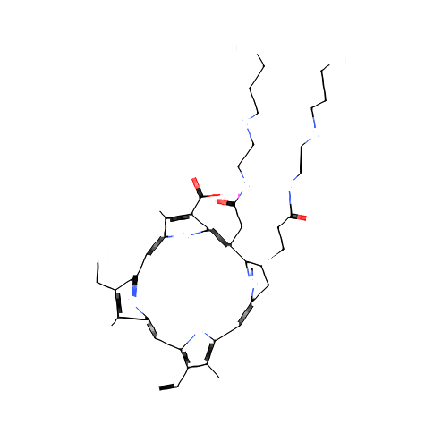 C=Cc1c(C)c2cc3nc(c(CC(=O)NCCNCCCC)c4[nH]c(cc5nc(cc1[nH]2)C(C)=C5CC)c(C)c4C(=O)O)[C@@H](CCC(=O)NCCNCCCC)[C@@H]3C